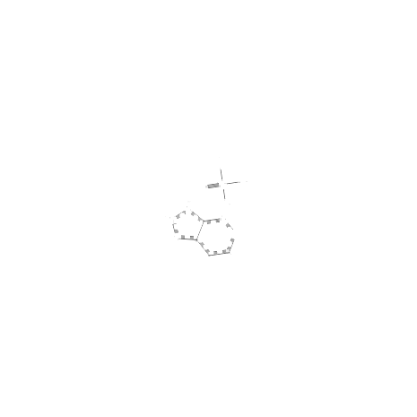 O=P(O)(O)O.c1cc2nnnc-2ns1